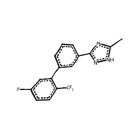 Cc1nc(-c2cccc(-c3cc(F)ccc3C(F)(F)F)c2)n[nH]1